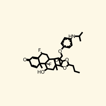 CCCC1OC2CC3C4C[C@H](F)C5=CC(=O)C=CC5(C)[C@@]4(F)C(O)CC3(C)C2(C(=O)COc2ccc(NC(C)C)cc2)O1